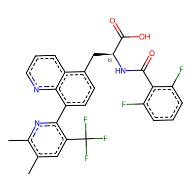 Cc1cc(C(F)(F)F)c(-c2ccc(C[C@H](NC(=O)c3c(F)cccc3F)C(=O)O)c3cccnc23)nc1C